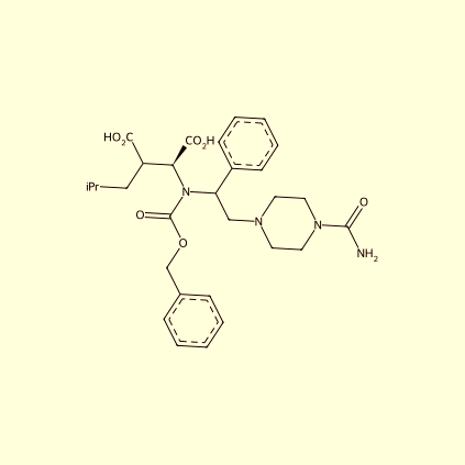 CC(C)CC(C(=O)O)[C@@H](C(=O)O)N(C(=O)OCc1ccccc1)C(CN1CCN(C(N)=O)CC1)c1ccccc1